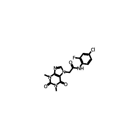 Cn1c(=O)c2c(ncn2CC(=O)Nc2ccc(Cl)cc2F)n(C)c1=O